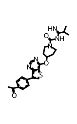 CC(=O)c1ccc(-c2csc3c(OC4CCN(C(=O)NC(=N)C(C)C)CC4)ncnc23)cc1